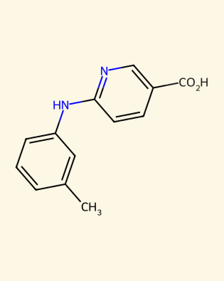 Cc1cccc(Nc2ccc(C(=O)O)cn2)c1